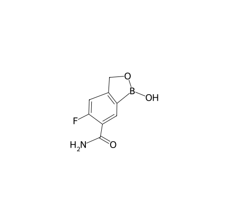 NC(=O)c1cc2c(cc1F)COB2O